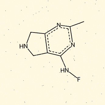 Cc1nc2c(c(NF)n1)CNC2